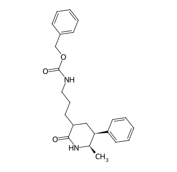 C[C@H]1NC(=O)C(CCCNC(=O)OCc2ccccc2)C[C@H]1c1ccccc1